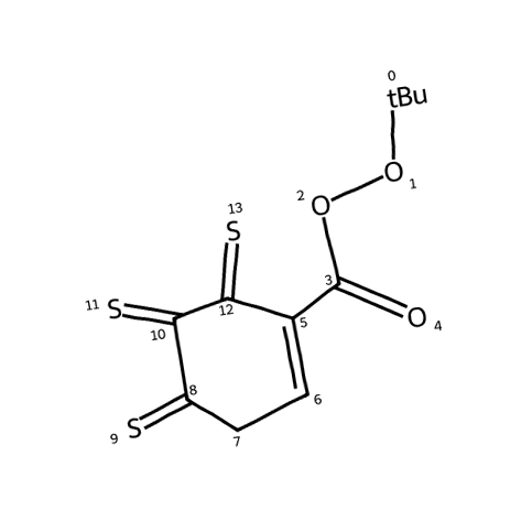 CC(C)(C)OOC(=O)C1=CCC(=S)C(=S)C1=S